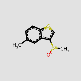 [CH2]c1ccc2scc([S+](C)[O-])c2c1